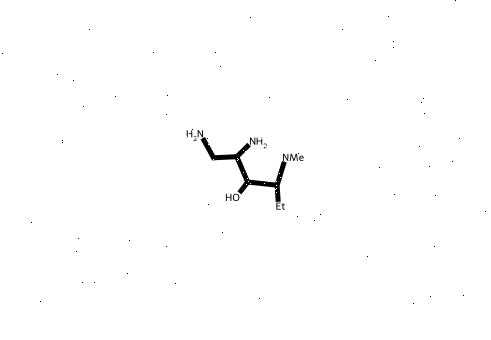 CCC(NC)C(O)C(N)CN